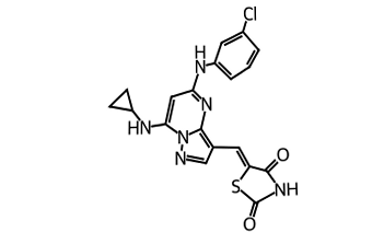 O=C1NC(=O)C(=Cc2cnn3c(NC4CC4)cc(Nc4cccc(Cl)c4)nc23)S1